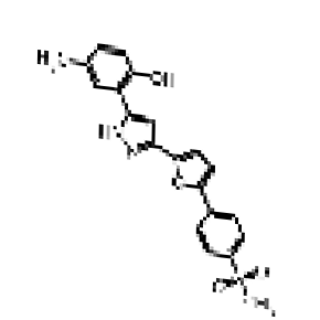 Cc1ccc(O)c(-c2cc(-c3ccc(-c4ccc(S(C)(=O)=O)cc4)o3)n[nH]2)c1